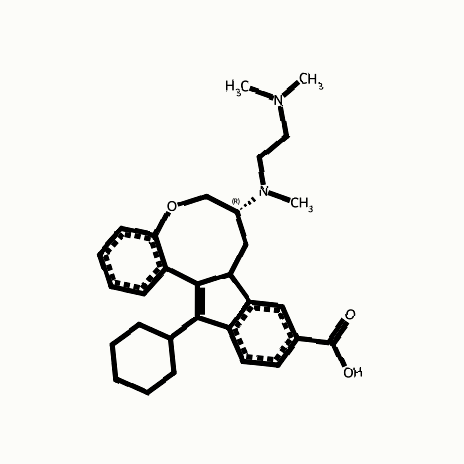 CN(C)CCN(C)[C@H]1COc2ccccc2C2=C(C3CCCCC3)c3ccc(C(=O)O)cc3C2C1